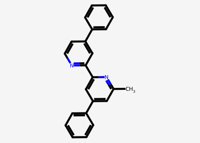 Cc1cc(-c2ccccc2)cc(-c2cc(-c3ccccc3)ccn2)n1